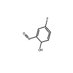 O=NC1=CC(F)=C=CC1O